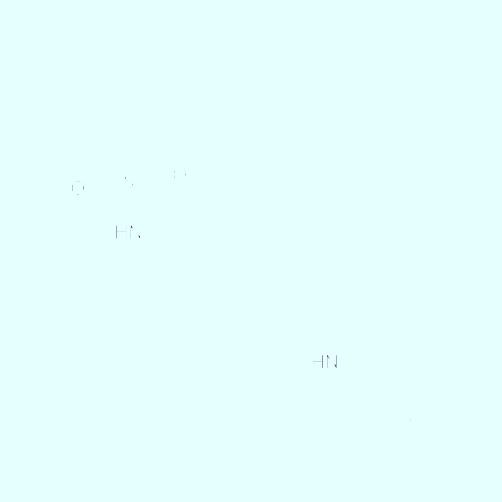 CC(C)(C)S(=O)(=O)Nc1ccc(CNC2CC2)cc1